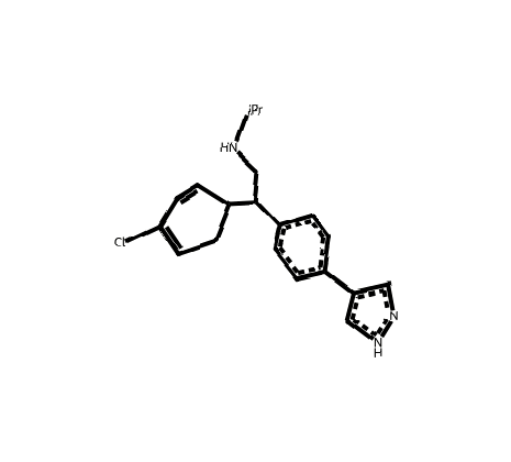 CC(C)NCC(c1ccc(-c2cn[nH]c2)cc1)C1C=CC(Cl)=CC1